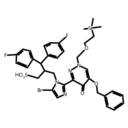 C[Si](C)(C)CCOCn1cc(OCc2ccccc2)c(=O)c(-c2ncc(Br)n2CC(CS(=O)(=O)O)C(c2ccc(F)cc2)c2ccc(F)cc2)n1